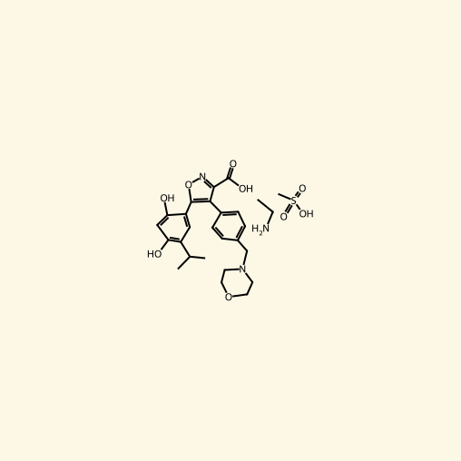 CC(C)c1cc(-c2onc(C(=O)O)c2-c2ccc(CN3CCOCC3)cc2)c(O)cc1O.CCN.CS(=O)(=O)O